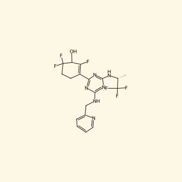 C[C@@H](Nc1nc(NCc2ccccn2)nc(C2=C(F)C(O)C(F)(F)CC2)n1)C(F)(F)F